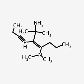 CCC#[PH]/C(=C(/CCC)N(C)C)C(C)(C)N